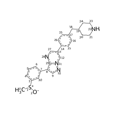 C[S+]([O-])c1cccc(-c2cnn3cc(-c4ccc(CC5CCNCC5)cc4)cnc23)c1